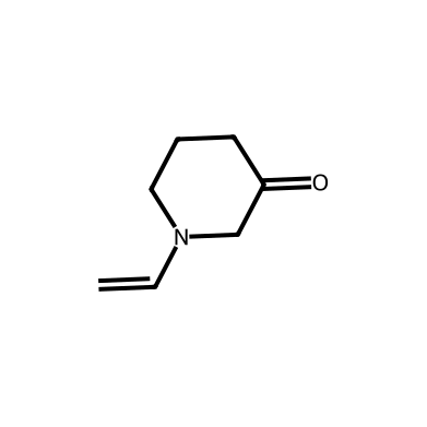 C=CN1CCCC(=O)C1